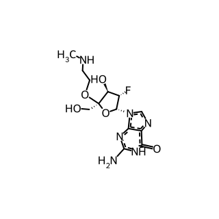 CNCCO[C@]1(CO)O[C@@H](n2cnc3c(=O)[nH]c(N)nc32)[C@@H](F)[C@@H]1O